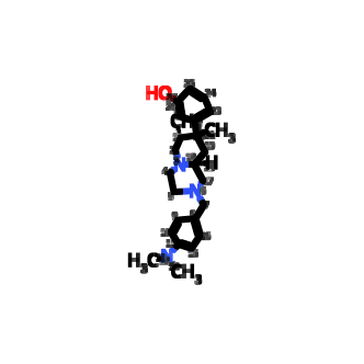 C[C@H]1CN2CCN(Cc3ccc(N(C)C)cc3)C[C@H]2CC1(C)c1cccc(O)c1